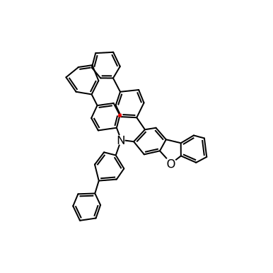 c1ccc(-c2ccc(-c3cc4c(cc3N(c3ccc(-c5ccccc5)cc3)c3ccc(-c5ccccc5)cc3)oc3ccccc34)cc2)cc1